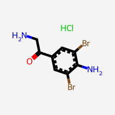 Cl.NCC(=O)c1cc(Br)c(N)c(Br)c1